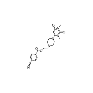 Cn1c(N2CCN(CCOC(=O)c3ccc(C#N)cc3)CC2)cc(=O)n(C)c1=O